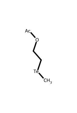 C[Te]CCOC(C)=O